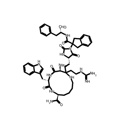 CN[C@@H]1C(=O)N[C@@H](Cc2c[nH]c3ccccc23)C(=O)N[C@H](C(N)=O)CCCCNC1(CCNC(=N)N)CC[C@@H]1NC(=O)N(C2(C(=O)N[C@@H](C=O)Cc3ccccc3)Cc3ccccc3C2)C1=O